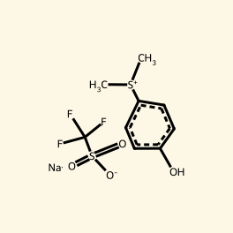 C[S+](C)c1ccc(O)cc1.O=S(=O)([O-])C(F)(F)F.[Na]